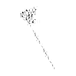 CC[C@]1(O)C(=O)OCc2c1cc1n(c2=O)Cc2c-1nc1cc(F)c(C)c3c1c2[C@H](NC(=O)C(C)(C)C(=O)N/N=C(/C)c1ccc(OCCOCCCCCOCCOCCOCCOCCOCCOCCOCCOCCOCCC(C)C)cc1)CC3